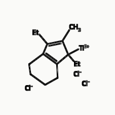 CCC1=C(C)[C]([Ti+3])(CC)C2=C1CCCC2.[Cl-].[Cl-].[Cl-]